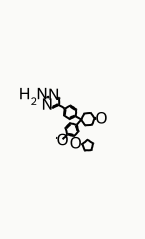 COc1ccc(C2(c3ccc(-c4cnc(N)nc4)cc3)CCC(=O)CC2)cc1OC1CCCC1